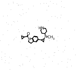 CN(C1CCNCC1)C1CC1c1ccc2c(c1)CCN2C(=O)C1CC1